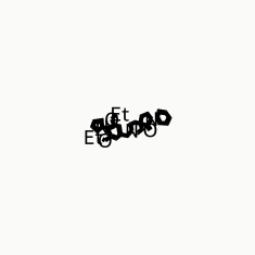 CCOc1cc(CN2CCC3(CC2)CCN(c2ccccc2)C3=O)cc(OCC)c1-n1cccc1